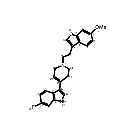 COc1ccc2c(CCN3CC=C(c4c[nH]c5cc(F)ccc45)CC3)coc2c1